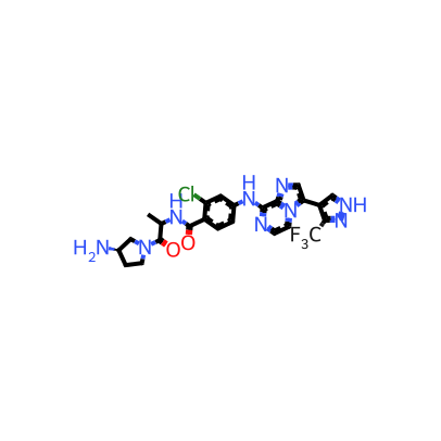 CC(NC(=O)c1ccc(Nc2nccn3c(-c4c[nH]nc4C(F)(F)F)cnc23)cc1Cl)C(=O)N1CC[C@@H](N)C1